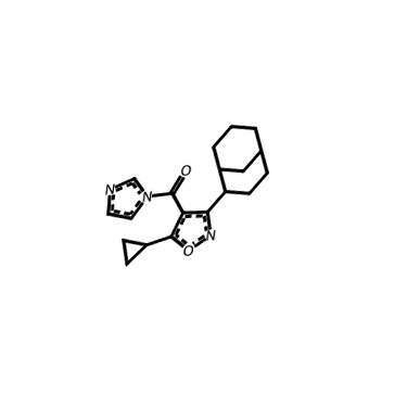 O=C(c1c(C2CCC3CCCC2C3)noc1C1CC1)n1ccnc1